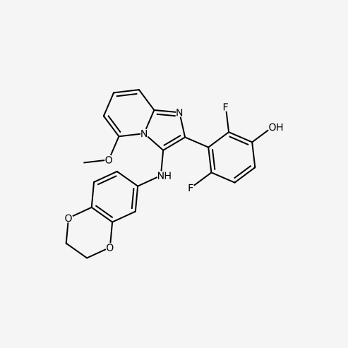 COc1cccc2nc(-c3c(F)ccc(O)c3F)c(Nc3ccc4c(c3)OCCO4)n12